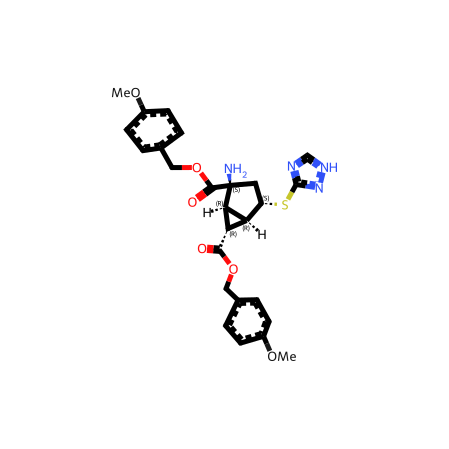 COc1ccc(COC(=O)[C@H]2[C@H]3[C@@H]2[C@](N)(C(=O)OCc2ccc(OC)cc2)C[C@@H]3Sc2nc[nH]n2)cc1